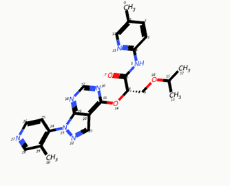 Cc1ccc(NC(=O)[C@H](COC(C)C)Oc2ncnc3c2cnn3-c2ccncc2C)nc1